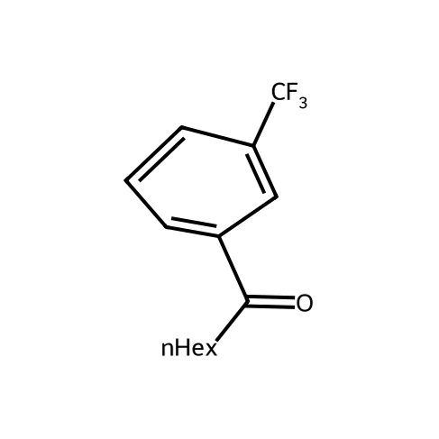 CCCCCCC(=O)c1cccc(C(F)(F)F)c1